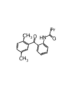 Cc1ccc(C)c(C(=O)c2ccccc2NC(=O)C(C)C)c1